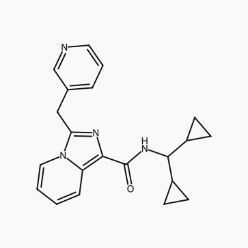 O=C(NC(C1CC1)C1CC1)c1nc(Cc2cccnc2)n2ccccc12